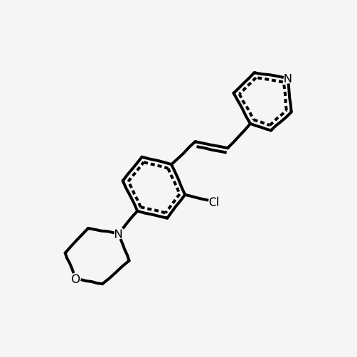 Clc1cc(N2CCOCC2)ccc1/C=C/c1ccncc1